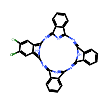 Clc1cc2c3nc4nc(nc5[nH]c(nc6nc(nc([nH]3)c2cc1Cl)-c1ccccc1-6)c1ccccc51)-c1ccccc1-4